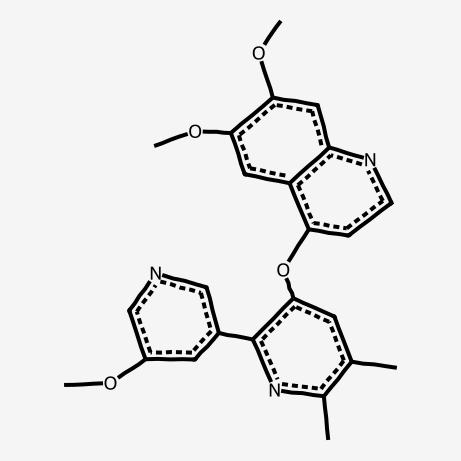 COc1cncc(-c2nc(C)c(C)cc2Oc2ccnc3cc(OC)c(OC)cc23)c1